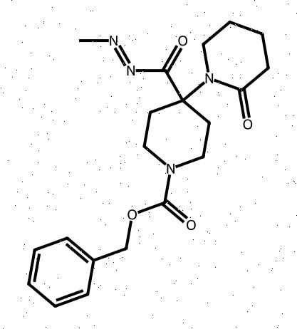 C/N=N/C(=O)C1(N2CCCCC2=O)CCN(C(=O)OCc2ccccc2)CC1